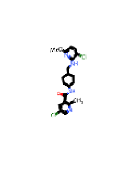 COc1ccc(Cl)c(NCC2CCC(NC(=O)c3cc(Cl)cnc3C)CC2)n1